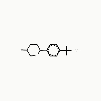 COC(F)(F)c1ccc(C2CCC(C)CO2)cc1